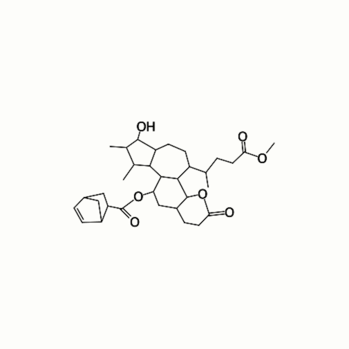 COC(=O)CCC(C)C1CCC2C(O)C(C)C(C)C2C2C(OC(=O)C3CC4C=CC3C4)CC3CCC(=O)OC3C12